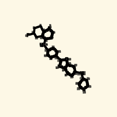 FC1CCc2nccc(Nc3ccc(-c4nc5ccc(Nc6ccncc6)cc5o4)cc3)c2C1